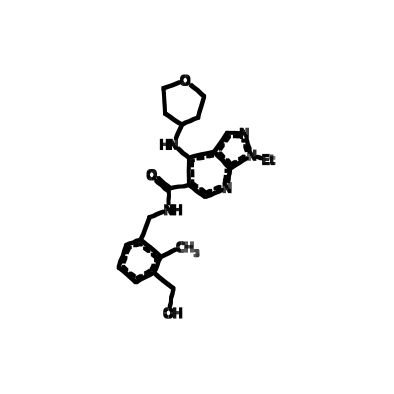 CCn1ncc2c(NC3CCOCC3)c(C(=O)NCc3cccc(CO)c3C)cnc21